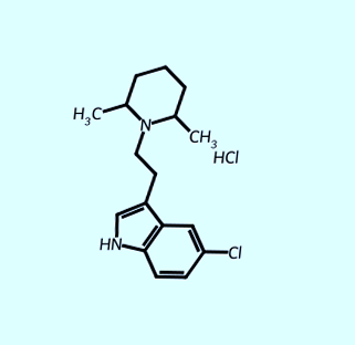 CC1CCCC(C)N1CCc1c[nH]c2ccc(Cl)cc12.Cl